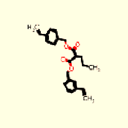 C=Cc1ccc(COC(=O)C(CCC)C(=O)OCc2cccc(C=C)c2)cc1